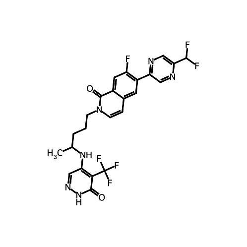 CC(CCCn1ccc2cc(-c3cnc(C(F)F)cn3)c(F)cc2c1=O)Nc1cn[nH]c(=O)c1C(F)(F)F